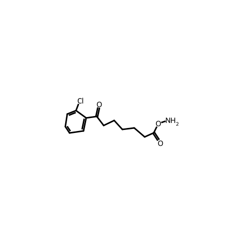 NOC(=O)CCCCCC(=O)c1ccccc1Cl